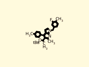 Cc1ccc(-c2c(C(C)OC(C)(C)C)c(C)nc3c2ccn3Cc2ccc(C)c(F)c2)cc1